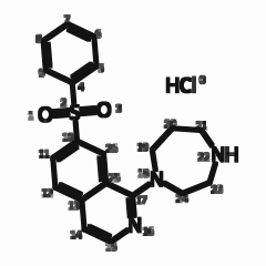 Cl.O=S(=O)(c1ccccc1)c1ccc2ccnc(N3CCCNCC3)c2c1